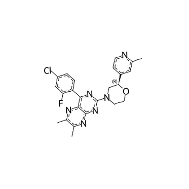 Cc1cc([C@@H]2CN(c3nc(-c4ccc(Cl)cc4F)c4nc(C)c(C)nc4n3)CCO2)ccn1